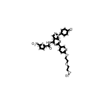 CCOCCOCCOc1ccc(-c2nc(NC(=O)c3ccc([N+](=O)[O-])s3)c3cnn(-c4ccc(Cl)cc4)c3n2)cn1